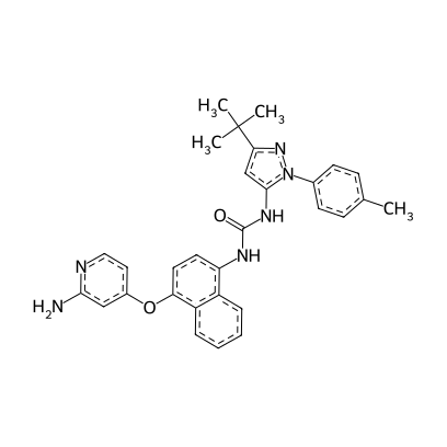 Cc1ccc(-n2nc(C(C)(C)C)cc2NC(=O)Nc2ccc(Oc3ccnc(N)c3)c3ccccc23)cc1